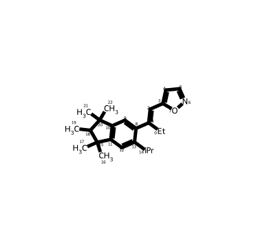 CCC(=Cc1ccno1)c1cc2c(cc1C(C)C)C(C)(C)C(C)C2(C)C